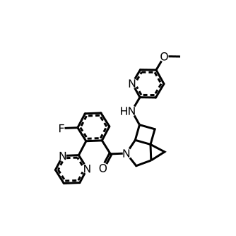 COc1ccc(NC2CC34CC3CN(C(=O)c3cccc(F)c3-c3ncccn3)C24)nc1